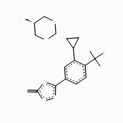 N[C@H]1CO[C@H](C2CC2c2cc(-c3n[nH]c(=O)o3)ccc2C(F)(F)F)OC1